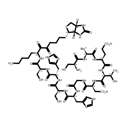 CC[C@H](C)[C@H](NC(=O)[C@@H](N)CS)C(=O)N[C@@H](CCC(=O)O)C(=O)N[C@H](C(=O)N[C@@H](CC(=O)O)C(=O)NCC(=O)N[C@@H](Cc1c[nH]cn1)C(=O)N[C@@H](CO)C(=O)N[C@@H](Cc1c[nH]cn1)C(=O)N[C@@H](CO)C(=O)N[C@@H](CCCCN)C(=O)C(=O)CCCC[C@@H]1SC[C@@H]2NC(=O)N[C@@H]21)[C@@H](C)O